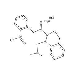 CN(C)CC1c2ccccc2CCN1C(=O)Cc1ccccc1[N+](=O)[O-].Cl.O